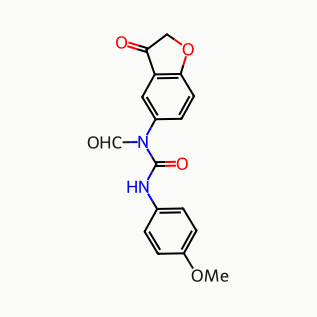 COc1ccc(NC(=O)N(C=O)c2ccc3c(c2)C(=O)CO3)cc1